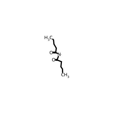 CCCCC(=O)[N]C(=O)CCCC